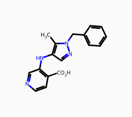 Cc1c(Nc2cnccc2C(=O)O)cnn1Cc1ccccc1